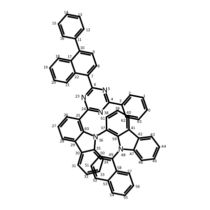 c1ccc(-c2nc(-c3ccc(-c4ccccc4)c4ccccc34)nc(-c3cccc4c5ccccc5n(-c5cccc6c7ccccc7n(-c7cccc8ccccc78)c56)c34)n2)cc1